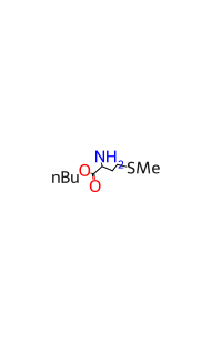 CCCCOC(=O)C(N)CCSC